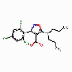 CCCC(CCC)c1onc(-c2c(F)cc(Cl)cc2Cl)c1C(=O)O